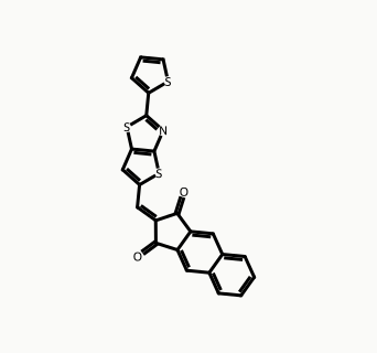 O=C1C(=Cc2cc3sc(-c4cccs4)nc3s2)C(=O)c2cc3ccccc3cc21